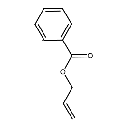 C=CCOC(=O)c1[c]cccc1